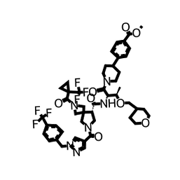 COC(=O)c1ccc(C2CCN(C(=O)[C@@H](NC(=O)[C@@H]3CN(C(=O)c4cnn(Cc5ccc(C(F)(F)F)cc5)c4)CC34CN(C(=O)C3(C(F)(F)F)CC3)C4)[C@@H](C)OCC3CCOCC3)CC2)cc1